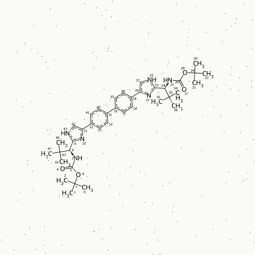 CC(C)(C)OC(=O)N[C@H](c1nc(-c2ccc(-c3ccc(-c4c[nH]c([C@@H](NC(=O)OC(C)(C)C)C(C)(C)C)n4)cc3)cc2)c[nH]1)C(C)(C)C